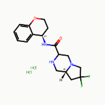 Cl.Cl.O=C(N[C@@H]1CCOc2ccccc21)C1CN2CC(F)(F)C[C@@H]2CN1